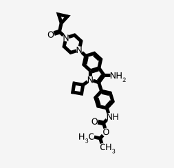 CC(C)OC(=O)Nc1ccc(-c2c(N)c3ccc(N4CCN(C(=O)C5CC5)CC4)cc3n2C2CCC2)cc1